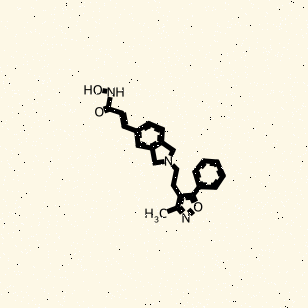 Cc1noc(-c2ccccc2)c1CCN1Cc2ccc(C=CC(=O)NO)cc2C1